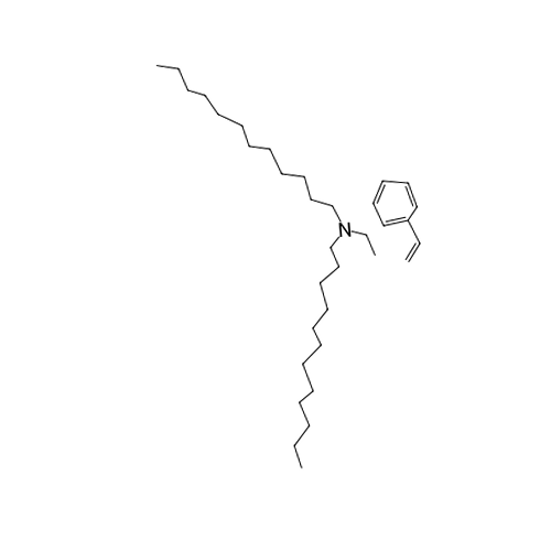 C=Cc1ccccc1.CCCCCCCCCCCCN(CC)CCCCCCCCCCCC